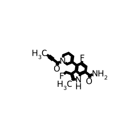 CC#CC(=O)N1CCC=C(c2c(F)cc(C(N)=O)c3[nH]c(C)c(CF)c23)C1